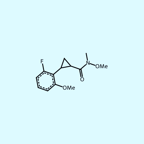 COc1cccc(F)c1C1CC1C(=O)N(C)OC